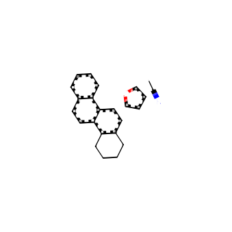 CC#N.c1ccc2c(c1)ccc1c3c(ccc12)CCCC3.c1ccoc1